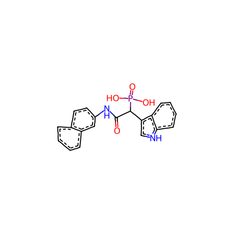 O=C(Nc1ccc2ccccc2c1)C(c1c[nH]c2ccccc12)P(=O)(O)O